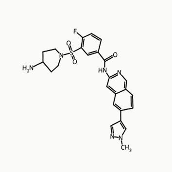 Cn1cc(-c2ccc3cnc(NC(=O)c4ccc(F)c(S(=O)(=O)N5CCC(N)CC5)c4)cc3c2)cn1